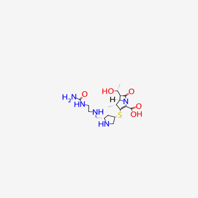 C[C@@H](O)[C@H]1C(=O)N2C(C(=O)O)=C(S[C@@H]3CN[C@H](CNCCNC(N)=O)C3)[C@H](C)[C@@H]12